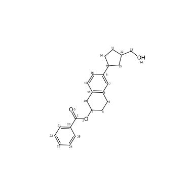 O=C(OC1CCc2cc(C3CCC(CO)C3)ccc2C1)c1ccccc1